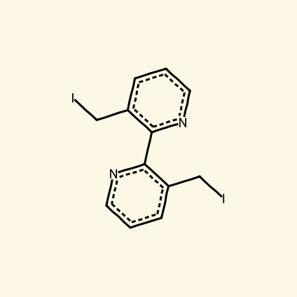 ICc1cccnc1-c1ncccc1CI